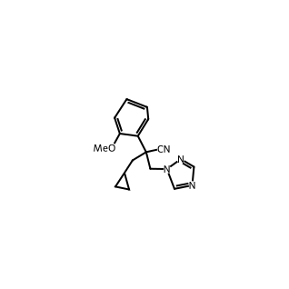 COc1ccccc1C(C#N)(CC1CC1)Cn1cncn1